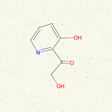 O=C(CO)c1ncccc1O